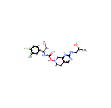 C[C@H](O)CNc1ncc2c(n1)CN(OC(=O)N[C@H](CO)c1ccc(F)c(Cl)c1)CC2